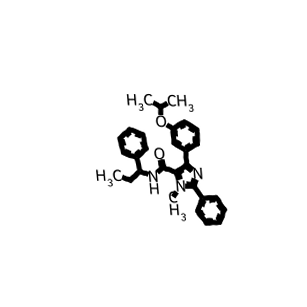 CCC(NC(=O)c1c(-c2cccc(OC(C)C)c2)nc(-c2ccccc2)n1C)c1ccccc1